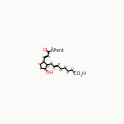 CCCCCC(=O)/C=C/C1CCC(O)C1C/C=C/CCCCC(=O)O